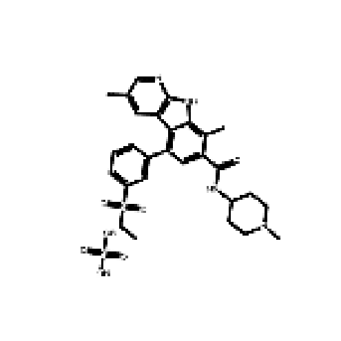 CCS(=O)(=O)c1cccc(-c2cc(C(=O)NC3CCN(C)CC3)c(C)c3[nH]c4ncc(C)cc4c23)c1.O=S(=O)(O)O